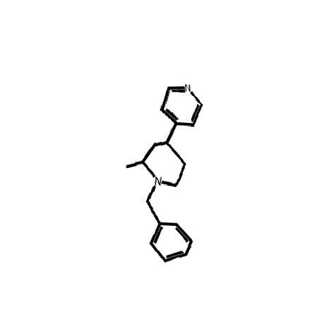 CC1CC(c2ccncc2)CCN1Cc1ccccc1